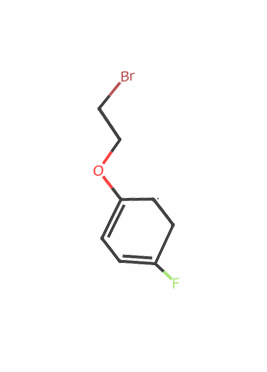 FC1=CC=C(OCCBr)[CH]C1